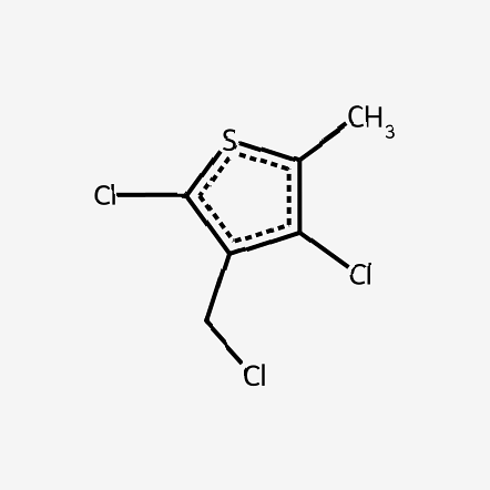 Cc1sc(Cl)c(CCl)c1Cl